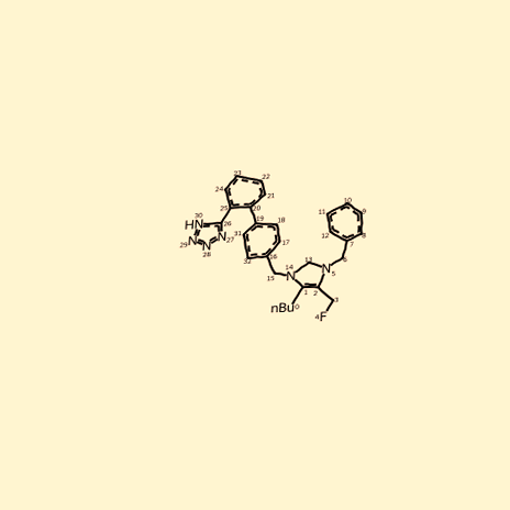 CCCCC1=C(CF)N(Cc2ccccc2)CN1Cc1ccc(-c2ccccc2-c2nnn[nH]2)cc1